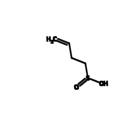 C=CCCS(=O)O